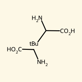 CC(C)(C)C(N)C(=O)O.NCC(=O)O